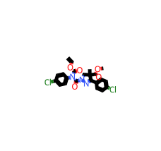 C=COC(=O)N(C(=O)N1CC(C)(C(=O)OC)C(c2ccc(Cl)cc2)=N1)c1ccc(Cl)cc1